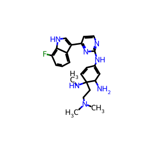 CNC1(CCN(C)C)C=CC(Nc2nccc(-c3c[nH]c4c(F)cccc34)n2)=CC1N